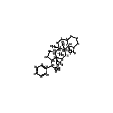 C[C@]12CCCCC1CC[C@@H]1[C@H]2CC[C@]2(C)C(C(O)c3ccccc3)CC[C@@H]12